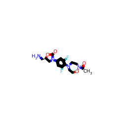 CC(=O)N1CCN(c2c(F)cc(N3C[C@H](CN)OC3=O)cc2F)CCO1